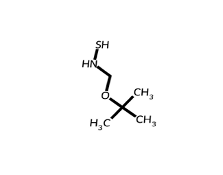 CC(C)(C)OCNS